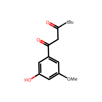 COc1cc(O)cc(C(=O)CC(=O)C(C)(C)C)c1